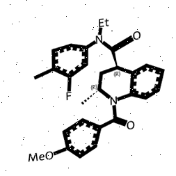 CCN(C(=O)[C@@H]1C[C@@H](C)N(C(=O)c2ccc(OC)cc2)c2ccccc21)c1ccc(C)c(F)c1